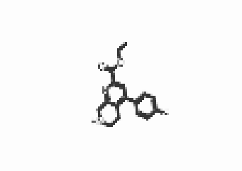 CCOC(=O)c1cc(-c2ccc(F)cc2)c2c(n1)CNCC2